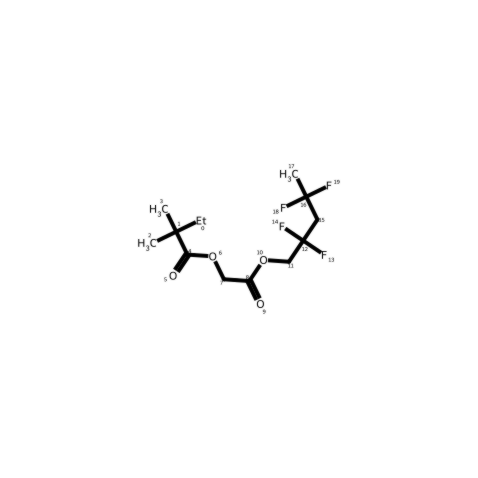 CCC(C)(C)C(=O)OCC(=O)OCC(F)(F)CC(C)(F)F